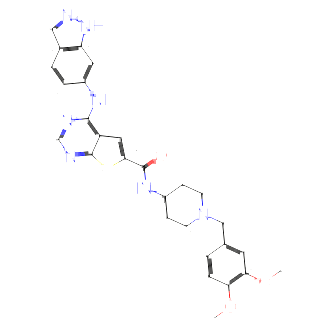 COc1ccc(CN2CCC(NC(=O)c3cc4c(Nc5ccc6cn[nH]c6c5)ncnc4s3)CC2)cc1OC